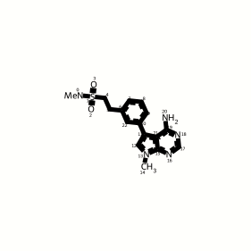 CNS(=O)(=O)CCc1cccc(-c2cn(C)c3ncnc(N)c23)c1